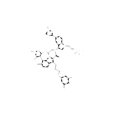 Cc1cc(OCCCc2c3n(c4c(-c5c(C)nn(C)c5C)c(Cl)ccc24)C(C)CN(c2cn(CCO[Si](C)(C)C(C)(C)C)c4ccc(-c5ncn(C)n5)cc24)C3=O)cc(C)c1Cl